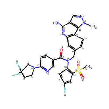 Cn1ncc2c(N)nc3cc(CN(C(=O)c4ccc(N5CCC(F)(F)C5)nc4)c4ccc(F)cc4S(C)(=O)=O)ccc3c21